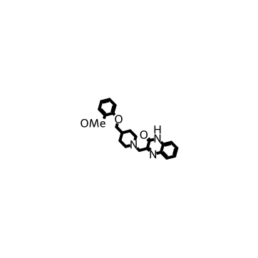 COc1ccccc1OCC1CCN(Cc2nc3ccccc3[nH]c2=O)CC1